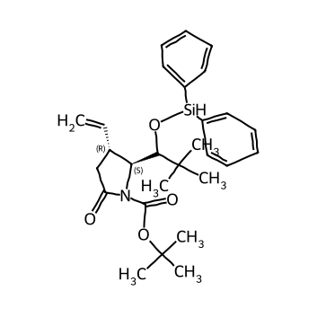 C=C[C@H]1CC(=O)N(C(=O)OC(C)(C)C)[C@@H]1C(O[SiH](c1ccccc1)c1ccccc1)C(C)(C)C